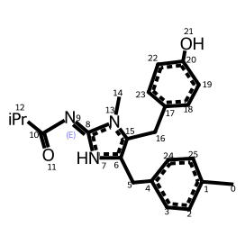 Cc1ccc(Cc2[nH]/c(=N\C(=O)C(C)C)n(C)c2Cc2ccc(O)cc2)cc1